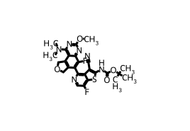 COc1nc(N(C)C)c2c3c(c(-c4ncc(F)c5sc(NC(=O)OC(C)(C)C)c(C#N)c45)c(F)c2n1)COC3